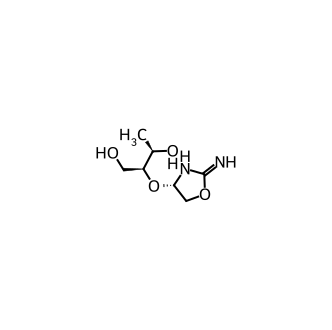 C[C@@H](O)[C@H](CO)O[C@H]1COC(=N)N1